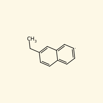 CCc1ccc2cc[c]cc2c1